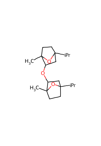 CC(C)C12CCC(C)(O1)C(OC1CC3(C(C)C)CCC1(C)O3)C2